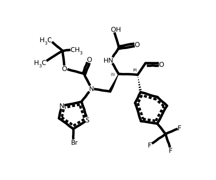 CC(C)(C)OC(=O)N(C[C@@H](NC(=O)O)[C@H](C=O)c1ccc(C(F)(F)F)cc1)c1ncc(Br)s1